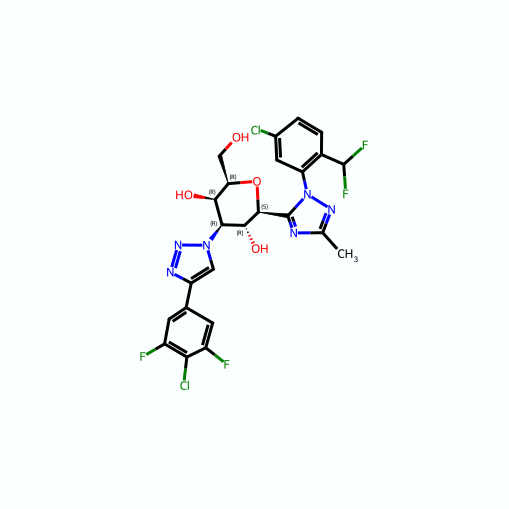 Cc1nc([C@@H]2O[C@H](CO)[C@H](O)[C@H](n3cc(-c4cc(F)c(Cl)c(F)c4)nn3)[C@H]2O)n(-c2cc(Cl)ccc2C(F)F)n1